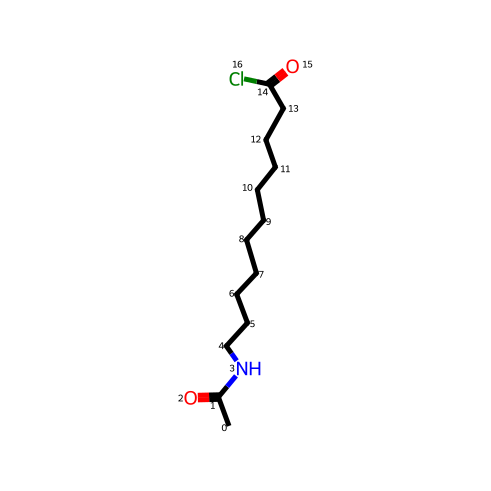 CC(=O)NCCCCCCCCCCC(=O)Cl